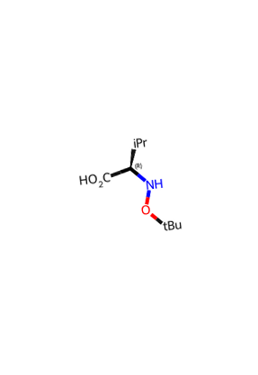 CC(C)[C@@H](NOC(C)(C)C)C(=O)O